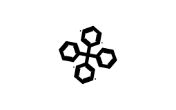 [c]1cc[c]c(C(c2[c]cc[c]c2)(c2ccccc2)c2ccccc2)c1